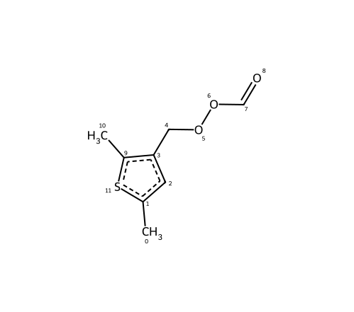 Cc1cc(COOC=O)c(C)s1